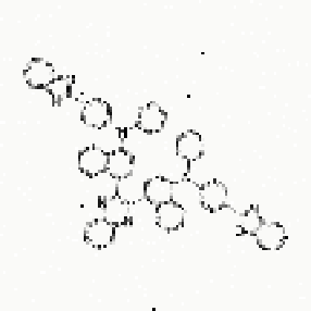 c1ccc(N(c2ccc(-c3nc4ccccc4o3)cc2)c2ccc(-c3nc4ccccc4nc3-c3ccc(N(c4ccccc4)c4ccc(-c5nc6ccccc6o5)cc4)c4ccccc34)c3ccccc23)cc1